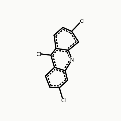 Clc1ccc2c(Cl)c3ccc(Cl)cc3nc2c1